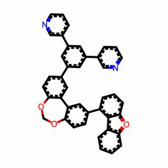 c1cncc(-c2cc(-c3cccnc3)cc(-c3ccc4c(c3)-c3cc(-c5cccc6oc7ccccc7c56)ccc3OCO4)c2)c1